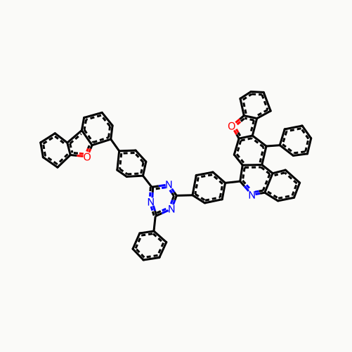 c1ccc(-c2nc(-c3ccc(-c4nc5ccccc5c5c(-c6ccccc6)c6c(cc45)oc4ccccc46)cc3)nc(-c3ccc(-c4cccc5c4oc4ccccc45)cc3)n2)cc1